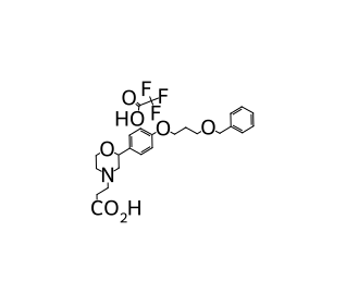 O=C(O)C(F)(F)F.O=C(O)CCN1CCOC(c2ccc(OCCCOCc3ccccc3)cc2)C1